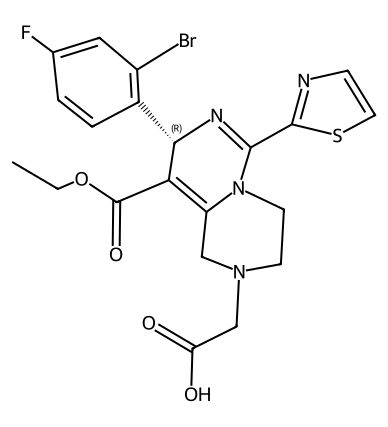 CCOC(=O)C1=C2CN(CC(=O)O)CCN2C(c2nccs2)=N[C@H]1c1ccc(F)cc1Br